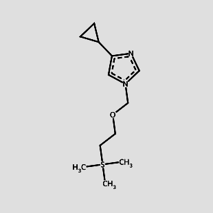 CS(C)(C)CCOCn1cnc(C2CC2)c1